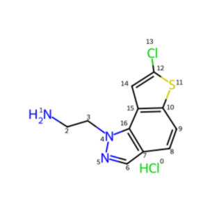 Cl.NCCn1ncc2ccc3sc(Cl)cc3c21